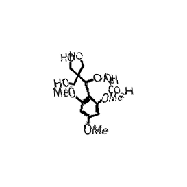 COc1cc(OC)c(C(OC(C)=O)C(CO)(CO)CO)c(OC)c1.O=C(O)O